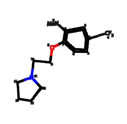 CNc1cc(C(F)(F)F)ccc1OCCN1CCCC1